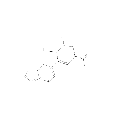 COC(=O)C1C=C(c2ccc3sccc3c2)[C@@H](O)C(O)C1